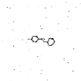 Cc1ccc(NCc2ccccn2)cc1